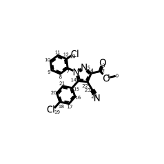 COC(=O)c1nn(-c2ccccc2Cl)c(-c2ccc(Cl)cc2)c1C#N